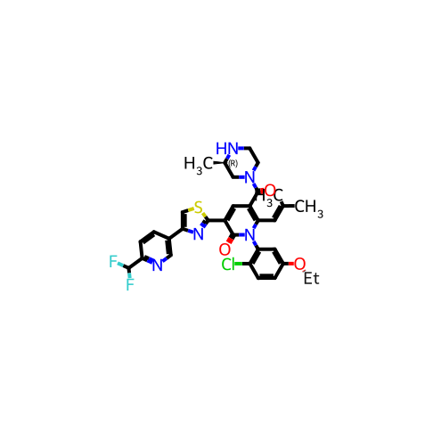 CCOc1ccc(Cl)c(-n2c(C=C(C)C)c(C(=O)N3CCN[C@H](C)C3)cc(-c3nc(-c4ccc(C(F)F)nc4)cs3)c2=O)c1